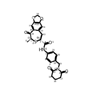 C[C@@H]1S[C@@H](C(=O)Nc2ccc(CN3C(=O)CCCC3=O)cc2)Cc2cc3c(cc2C1=O)OCO3